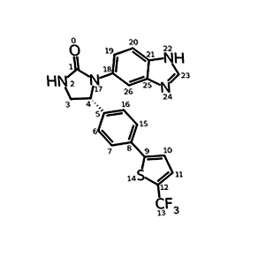 O=C1NC[C@@H](c2ccc(-c3ccc(C(F)(F)F)s3)cc2)N1c1ccc2[nH]cnc2c1